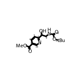 COC(=O)c1ccc(C(O)CNC(=O)OC(C)(C)C)nc1